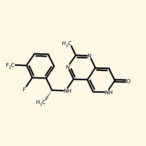 Cc1nc(N[C@H](C)c2cccc(C(F)(F)F)c2F)c2c[nH]c(=O)cc2n1